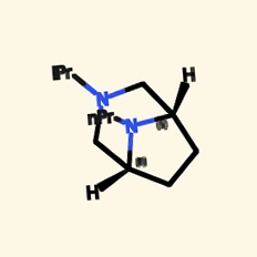 CCCN1[C@@H]2CC[C@H]1CN(C(C)C)C2